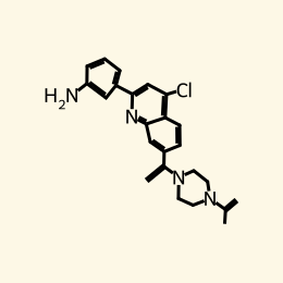 C=C(C)N1CCN(C(=C)c2ccc3c(Cl)cc(-c4cccc(N)c4)nc3c2)CC1